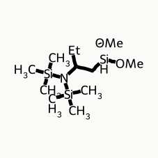 CCC(C[SiH](OC)OC)N([Si](C)(C)C)[Si](C)(C)C